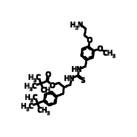 COc1cc(CNC(=S)NCC(COC(=O)C(C)(C)C)Cc2ccc(C(C)(C)C)cc2)ccc1OCCN